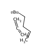 C=C=C.C=CCCCCCC